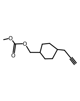 C#CCC1CCC(COC(=O)OC)CC1